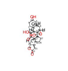 C[C@]12CC[C@H](O)C[C@H]1C[C@@H]1O[C@]13[C@@H]2[C@H](O)C(=O)[C@]1(C)[C@@H](C2=CC(=O)OC2)CC[C@]31O